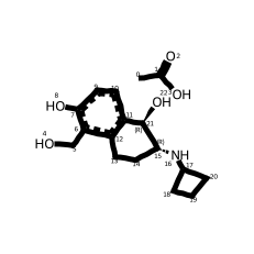 CC(=O)O.OCc1c(O)ccc2c1CC[C@@H](NC1CCC1)[C@@H]2O